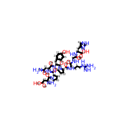 N=C(N)NCCC[C@H](NC(=O)[C@@H]1CCCN1C(=O)[C@H](Cc1ccc(O)cc1)NC(=O)[C@H](CC(N)=O)NC(=O)[C@@H]1CCCN1C(=O)[C@@H](N)CC(=O)O)C(=O)NCC(=O)N[C@@H](Cc1c[nH]cn1)C(=O)O